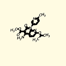 COC(=O)c1c(N)c2ccc(OC(C)C)nc2n(-c2ccc(C)nc2)c1=O